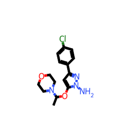 CC(Oc1cc(-c2ccc(Cl)cc2)nn1N)N1CCOCC1